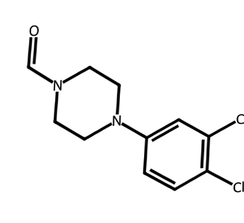 O=CN1CCN(c2ccc(Cl)c(Cl)c2)CC1